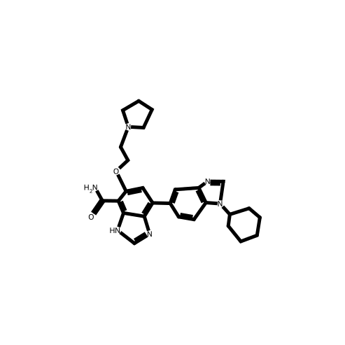 NC(=O)c1c(OCCN2CCCC2)cc(-c2ccc3c(c2)ncn3C2CCCCC2)c2nc[nH]c12